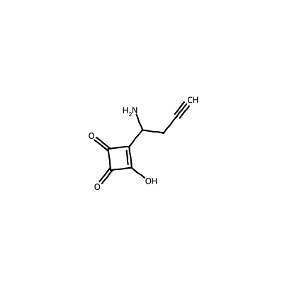 C#CCC(N)c1c(O)c(=O)c1=O